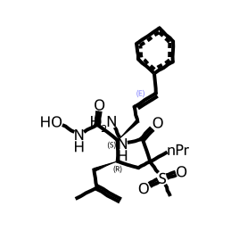 C=C(C)C[C@H](CC(CCC)(C(=O)NN)S(C)(=O)=O)[C@H](C/C=C/c1ccccc1)C(=O)NO